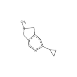 CN1Cc2cnc(C3CC3)cc2C1